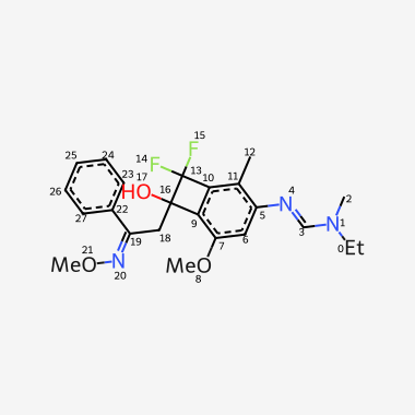 CCN(C)/C=N/c1cc(OC)c2c(c1C)C(F)(F)C2(O)C/C(=N/OC)c1ccccc1